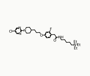 CC[N+](CC)(CC)CCCCCNC(=O)Cc1ccc(OCCCC2CCN(c3ncc(Cl)cn3)CC2)cc1F